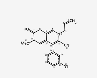 C=CCN1C=C2CC(=O)C(OC)C=C2C(c2cccc(Cl)c2)=C1C#N